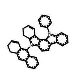 C1=Cc2c(cc3ccccc3c2-n2c3c(c4c2ccc2c5ccccc5n(-c5ccccc5)c24)C=CCC3)CC1